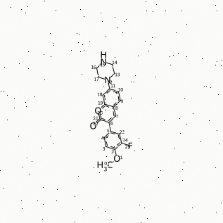 COc1ccc(-c2cc3ccc(N4CCNCC4)cc3oc2=O)cc1F